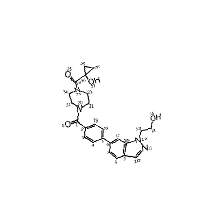 O=C(c1ccc(-c2ccc3cnn(CCO)c3c2)cc1)N1CCN(C(=O)C2(O)CC2)CC1